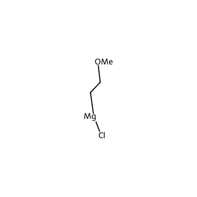 COC[CH2][Mg][Cl]